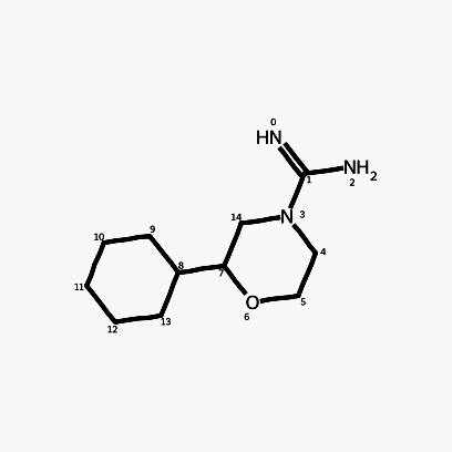 N=C(N)N1CCOC(C2CCCCC2)C1